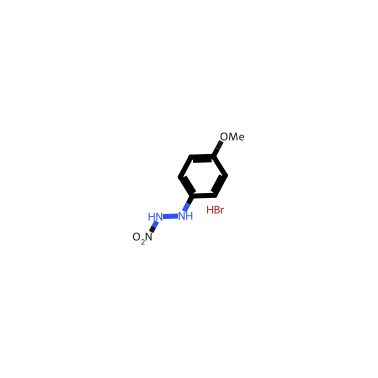 Br.COc1ccc(NN[N+](=O)[O-])cc1